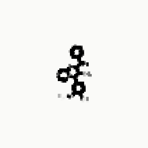 COc1cc(C2C(C)C(C(=O)c3ccccc3)N=C3C=NC=CN32)ccc1O